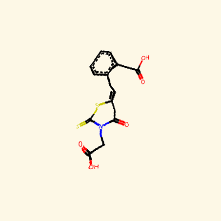 O=C(O)CN1C(=O)C(=Cc2ccccc2C(=O)O)SC1=S